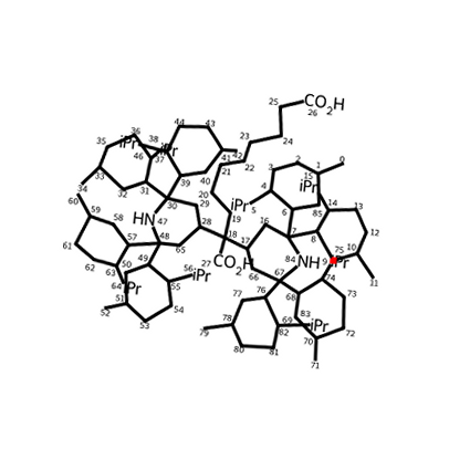 CC1CCC(C(C)C)C(C2(C3CC(C)CCC3C(C)C)CC(C(CCCCCCCC(=O)O)(C(=O)O)C3CC(C4CC(C)CCC4C(C)C)(C4CC(C)CCC4C(C)C)NC(C4CC(C)CCC4C(C)C)(C4CC(C)CCC4C(C)C)C3)CC(C3CC(C)CCC3C(C)C)(C3CC(C)CCC3C(C)C)N2)C1